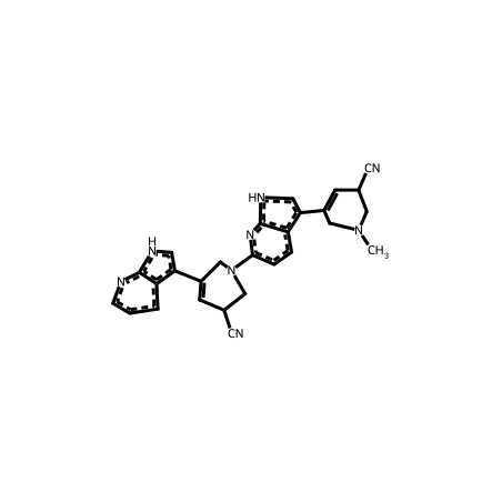 CN1CC(c2c[nH]c3nc(N4CC(c5c[nH]c6ncccc56)=CC(C#N)C4)ccc23)=CC(C#N)C1